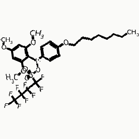 CCCCCCCCOc1ccc([I+](OS(=O)(=O)C(F)(F)C(F)(F)C(F)(F)C(F)(F)F)c2c(OC)cc(OC)cc2OC)cc1